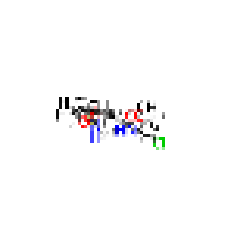 COc1ccc(Cl)cc1NC(=O)[C@H]1CC[C@H](NS(=O)(=O)C(C)(C)C)CC1